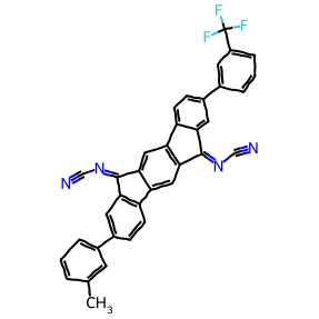 Cc1cccc(-c2ccc3c(c2)/c(=N\C#N)c2cc4c(cc23)/c(=N/C#N)c2cc(-c3cccc(C(F)(F)F)c3)ccc24)c1